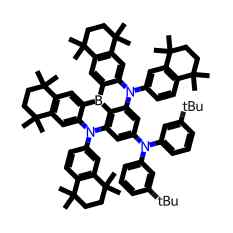 CC(C)(C)c1cccc(N(c2cccc(C(C)(C)C)c2)c2cc3c4c(c2)N(c2ccc5c(c2)C(C)(C)CCC5(C)C)c2cc5c(cc2B4c2cc4c(cc2N3c2ccc3c(c2)C(C)(C)CCC3(C)C)C(C)(C)CCC4(C)C)C(C)(C)CCC5(C)C)c1